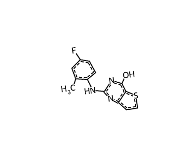 Cc1cc(F)ccc1Nc1nc(O)c2sccc2n1